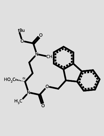 CN(CC[C@@H](C(=O)O)N(C)C(=O)OCC1c2ccccc2-c2ccccc21)C(=O)OC(C)(C)C